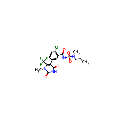 CCCN(C)S(=O)(=O)NC(=O)c1cc(-c2c(C(F)(F)F)n(C)c(=O)[nH]c2=O)ccc1Cl